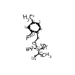 Cc1ccc(CO[Si](C(C)C)(C(C)C)C(C)I)c(F)c1